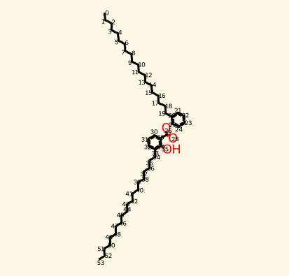 CCCCCCCCCCCCCCCCCCCCc1ccccc1OC(=O)c1cccc(CCCCCCCCCCCCCCCCCCCC)c1O